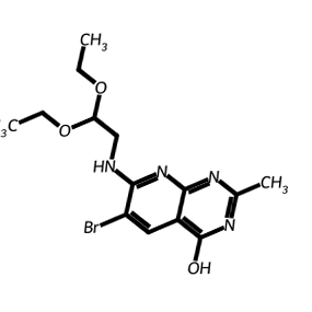 CCOC(CNc1nc2nc(C)nc(O)c2cc1Br)OCC